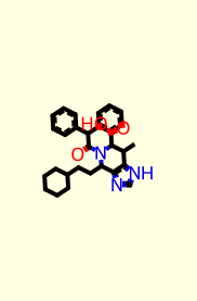 CC1c2[nH]cnc2C(CCC2CCCCC2)N(C(=O)C(c2ccccc2)c2ccccc2)C1C(=O)O